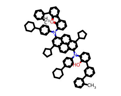 Cc1ccccc1-c1cccc(-c2cccc(N(c3ccc(C4CCCCC4)cc3)c3cc(C4CCCC4)c4ccc5c(N(c6ccc(C7CCCCC7)cc6)c6cccc7c6oc6c(-c8ccccc8C)cccc67)cc(C6CCCC6)c6ccc3c4c65)c2O)c1